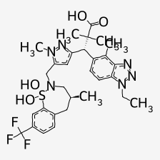 CCn1nnc2c(C)c([C@H](c3cc(CN4C[C@@H](C)Cc5ccc(C(F)(F)F)cc5S4(O)O)n(C)n3)C(C)(C)C(=O)O)ccc21